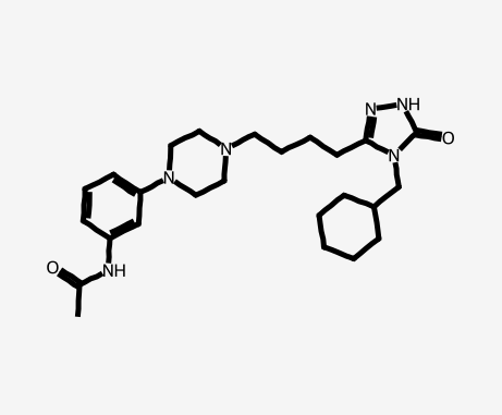 CC(=O)Nc1cccc(N2CCN(CCCCc3n[nH]c(=O)n3CC3CCCCC3)CC2)c1